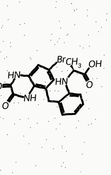 C[C@H](Nc1ccccc1Cc1cc(Br)cc2[nH]c(=O)c(=O)[nH]c12)C(=O)O